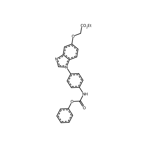 CCOC(=O)COc1ccc2c(c1)ncn2-c1ccc(NC(=O)Oc2ccccc2)cc1